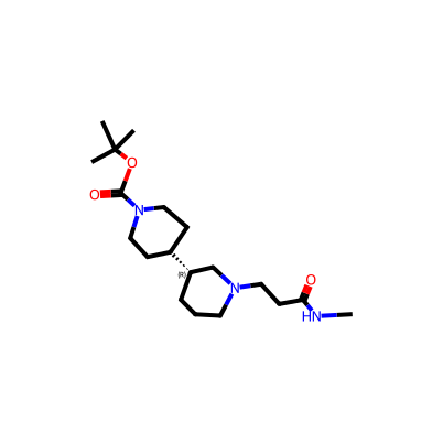 CNC(=O)CCN1CCC[C@H](C2CCN(C(=O)OC(C)(C)C)CC2)C1